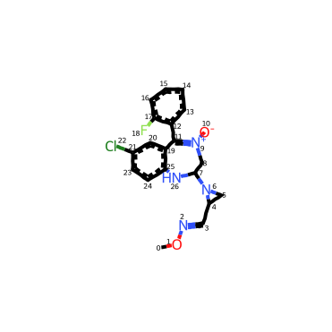 CON=CC1CN1C1C[N+]([O-])=C(c2ccccc2F)c2cc(Cl)ccc2N1